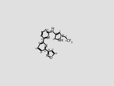 FC(F)(F)CN1C=C(Nc2nccc(-c3cccc(-c4ccon4)n3)n2)CN1